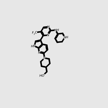 OCC1CCN(c2ccc3c(-c4nc(NC5=CCCNC5)ncc4C(F)(F)F)c[nH]c3n2)CC1